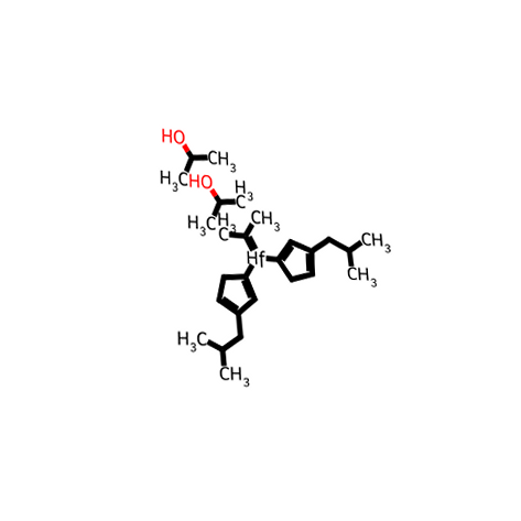 CC(C)O.CC(C)O.C[C](C)=[Hf]([C]1=CC(CC(C)C)=CC1)[C]1=CC(CC(C)C)=CC1